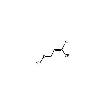 [CH2]CCSCC=C(CC)C(F)(F)F